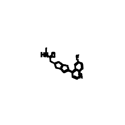 O=C(C[C@@H]1CC2C=C(c3ccnc4ccc(F)cc34)CC2C1)NI